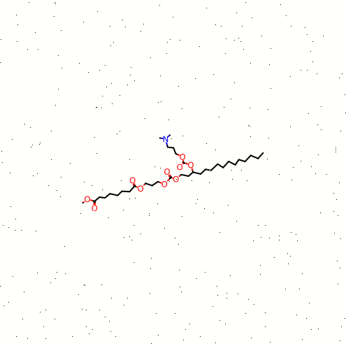 CCCCCCCCCCCCC(CCOC(=O)OCCCOC(=O)CCCCCCC(=O)OC)OC(=O)OCCCN(C)C